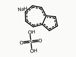 O=S(=O)(O)O.[NaH].c1ccc2cccc-2cc1